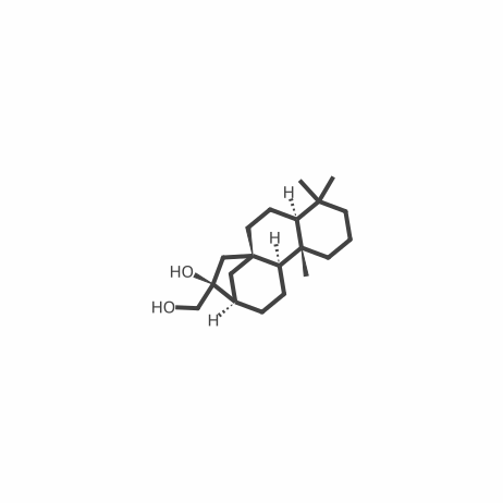 CC1(C)CCC[C@@]2(C)[C@H]1CC[C@]13C[C@@H](CC[C@@H]12)[C@](O)(CO)C3